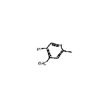 Cc1cc(C=O)c(C(C)C)cn1